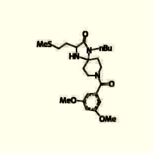 CCCCN1C(=O)C(CCSC)NC12CCN(C(=O)c1cc(OC)cc(OC)c1)CC2